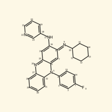 Fc1ccc(-n2c3c/c(=N\C4CCCCC4)c(Nc4cccnc4)cc-3nc3ccccc32)cc1